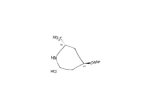 CO[C@H]1CCN[C@H](C(=O)O)C1.Cl